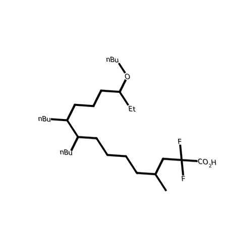 CCCCOC(CC)CCCC(CCCC)C(CCCC)CCCCC(C)CC(F)(F)C(=O)O